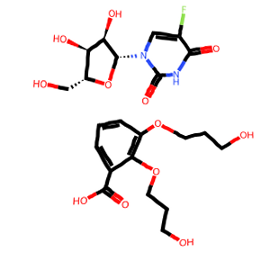 O=C(O)c1cccc(OCCCO)c1OCCCO.O=c1[nH]c(=O)n([C@@H]2O[C@H](CO)[C@@H](O)[C@H]2O)cc1F